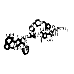 C#Cc1cccc2cc(O)cc(-c3ncc4c(N5CC6CCC(C5)N6)nc(OCC5(CN6CCN(CC7CCN(Cc8ccc(-n9c(C(=O)NCC)nnc9-c9cc(C(C)C)c(O)cc9O)cc8)CC7)CC6)CC5)nc4c3F)c12